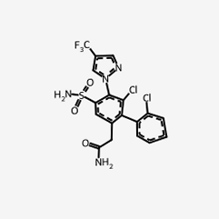 NC(=O)Cc1cc(S(N)(=O)=O)c(-n2cc(C(F)(F)F)cn2)c(Cl)c1-c1ccccc1Cl